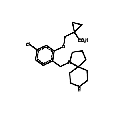 O=C(O)C1(COc2cc(Cl)ccc2CN2CCCC23CCNCC3)CC1